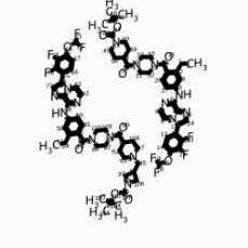 CCc1cc(Nc2nccn3c(-c4ccc(OC(F)F)c(F)c4F)cnc23)ccc1C(=O)N1CCN(C(=O)C2CCN(C(=O)OC(C)(C)C)CC2)CC1.CCc1cc(Nc2nccn3c(-c4ccc(OC(F)F)c(F)c4F)cnc23)ccc1C(=O)N1CCN(C(=O)C2CCN(CC3CN(C(=O)OC(C)(C)C)C3)CC2)CC1